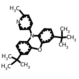 Cc1ccc(N2c3ccc(C(C)(C)C)cc3Oc3cc(C(C)(C)C)ccc32)cn1